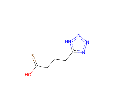 OC(=S)CCCc1nnn[nH]1